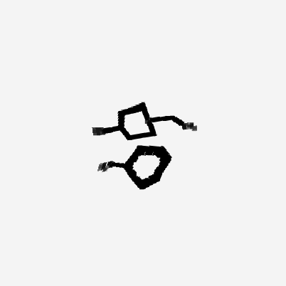 CCN1CCC(O)CC1.Nc1ccccc1